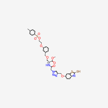 COC(=O)[C@H](COCc1cccc(OCCOS(=O)(=O)c2ccc(C)cc2)c1)NC(=O)Cn1cc(COc2ccc3nc(S)sc3c2)nn1